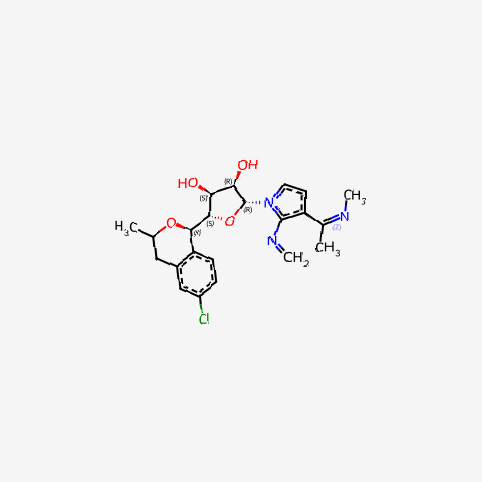 C=Nc1c(/C(C)=N\C)ccn1[C@@H]1O[C@H]([C@@H]2OC(C)Cc3cc(Cl)ccc32)[C@@H](O)[C@H]1O